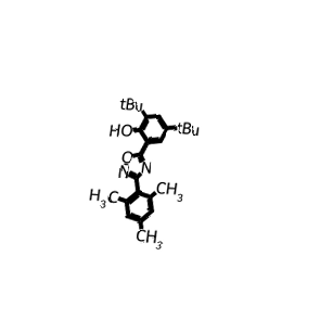 Cc1cc(C)c(-c2noc(-c3cc(C(C)(C)C)cc(C(C)(C)C)c3O)n2)c(C)c1